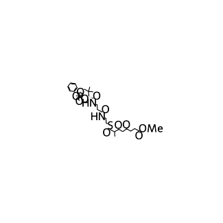 COC(=O)CCC(=O)CC(=O)C(C)C(=O)SCCNC(=O)CCNC(=O)[C@@H]1OP(=O)(Oc2ccccc2)OCC1(C)C